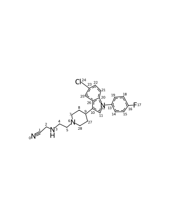 N#CCNCCN1CCC(c2cn(-c3ccc(F)cc3)c3ccc(Cl)cc23)CC1